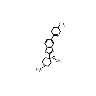 COC1(c2nc3cc(C4=NCC(C)CC4)ccc3s2)CCN(C)CC1